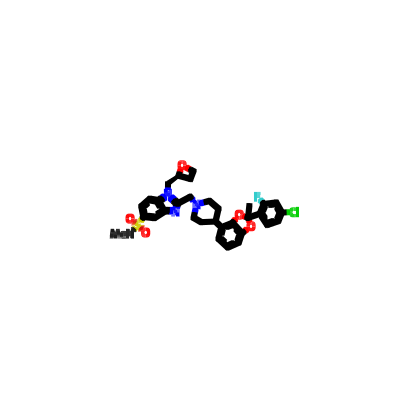 CNS(=O)(=O)c1ccc2c(c1)nc(CN1CCC(c3cccc4c3OC(C)(c3ccc(Cl)cc3F)O4)CC1)n2C[C@@H]1CCO1